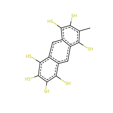 Cc1c(S)c(S)c2cc3c(S)c(S)c(S)c(S)c3cc2c1S